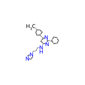 Cc1ccc(-c2cc(NCCCn3ccnc3)nc(-c3ccccc3)n2)cc1